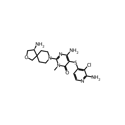 Cn1c(N2CCC3(CC2)COC[C@H]3N)nc(N)c(Sc2ccnc(N)c2Cl)c1=O